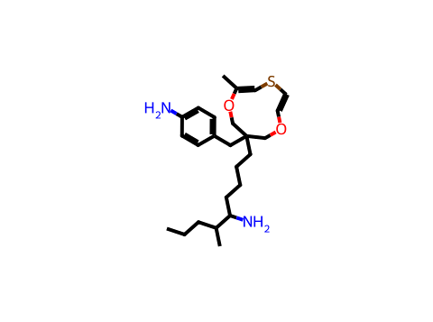 CCCC(C)C(N)CCCCC1(Cc2ccc(N)cc2)CO/C=C/S/C=C(\C)OC1